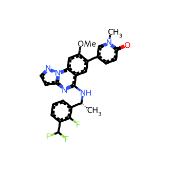 COc1cc2c(cc1-c1ccc(=O)n(C)c1)c(N[C@H](C)c1cccc(C(F)F)c1F)nc1ccnn12